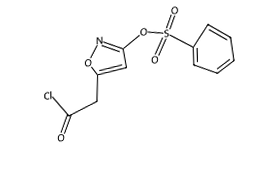 O=C(Cl)Cc1cc(OS(=O)(=O)c2ccccc2)no1